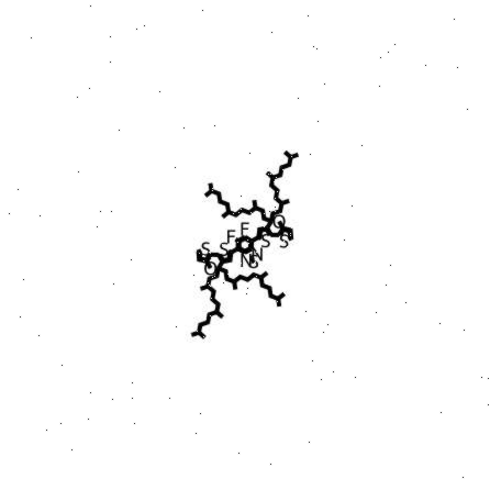 CC(C)CCCC(C)CCCC(C)CCC1(CCC(C)CCCC(C)CCCC(C)C)Oc2ccsc2-c2sc(-c3c(F)c(F)c(-c4cc5c(s4)-c4sccc4OC5(CCC(C)CCCC(C)CCCC(C)C)CCC(C)CCCC(C)CCCC(C)C)c4nsnc34)cc21